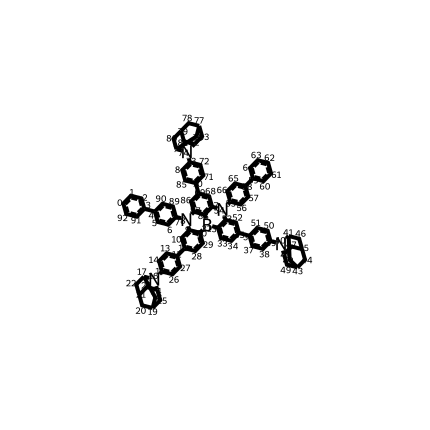 c1ccc(-c2ccc(N3c4cc(-c5ccc(N6C7CC8CC(C7)CC6C8)cc5)ccc4B4c5ccc(-c6ccc(N7C8CC9CC(C8)CC7C9)cc6)cc5N(c5ccc(-c6ccccc6)cc5)c5cc(-c6ccc(N7C8CC9CC(C8)CC7C9)cc6)cc3c54)cc2)cc1